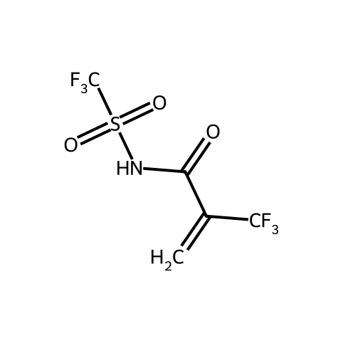 C=C(C(=O)NS(=O)(=O)C(F)(F)F)C(F)(F)F